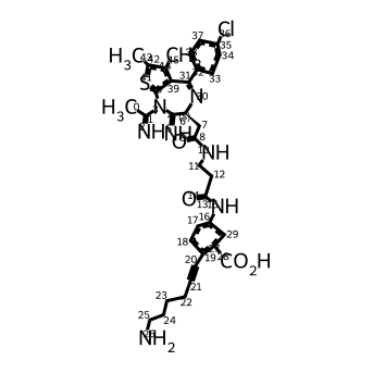 CC(=N)N1C(=N)[C@H](CC(=O)NCCC(=O)Nc2ccc(C#CCCCCN)c(C(=O)O)c2)N=C(c2ccc(Cl)cc2)c2c1sc(C)c2C